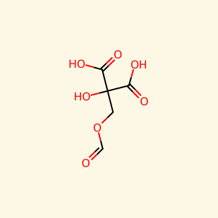 O=COCC(O)(C(=O)O)C(=O)O